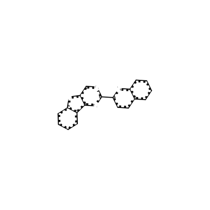 c1ccc2nc(-c3ncc4sc5ccccc5c4n3)ccc2c1